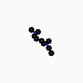 c1ccc(-c2ccc(-n3c4ccccc4c4c5ccc(-c6ccc7ccc8c(c7c6)c6ccccc6n8-c6ccccc6)cc5ccc43)cc2)cc1